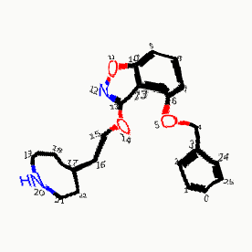 c1ccc(COc2cccc3onc(OCCC4CCNCC4)c23)cc1